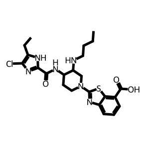 CCCCNC1CN(c2nc3cccc(C(=O)O)c3s2)CCC1NC(=O)c1nc(Cl)c(CC)[nH]1